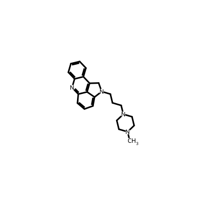 CN1CCN(CCCN2Cc3c4ccccc4nc4cccc2c34)CC1